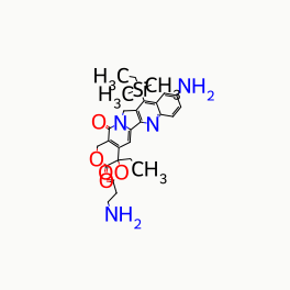 CCC1(OC(=O)CCN)C(=O)OCc2c1cc1n(c2=O)Cc2c-1nc1ccc(N)cc1c2[Si](C)(C)CC